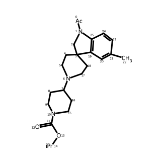 CC(=O)N1CC2(CCN(C3CCN(C(=O)OC(C)C)CC3)CC2)c2cc(C)ccc21